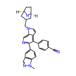 CN1[C@@H]2CC[C@H]1CC(Cn1ccc3c(-c4ccc(C#N)cc4)c(-c4ccc5c(cnn5C)c4)ncc31)C2